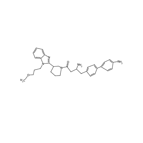 COCCCn1c(C2CCCN(C(=O)CC(N)Cc3ccc(-c4ccc(N)cc4)cc3)C2)nc2ccccc21